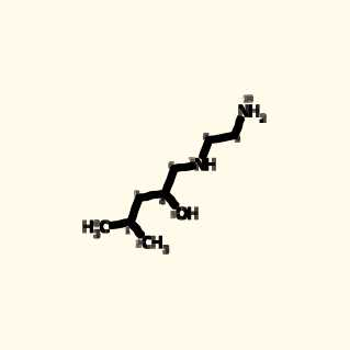 CC(C)CC(O)CNCCN